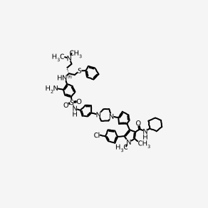 Cc1c(C(=O)NC2CCCCC2)c(-c2cccc(N3CCN(c4ccc(NS(=O)(=O)c5ccc(N[C@H](CCN(C)C)CSc6ccccc6)c(N)c5)cc4)CC3)c2)c(-c2ccc(Cl)cc2)n1C